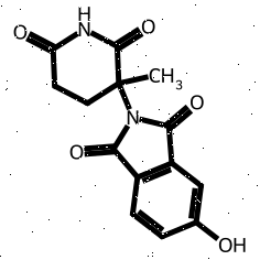 CC1(N2C(=O)c3ccc(O)cc3C2=O)CCC(=O)NC1=O